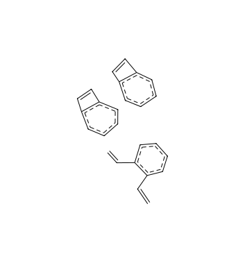 C1=Cc2ccccc21.C1=Cc2ccccc21.C=Cc1ccccc1C=C